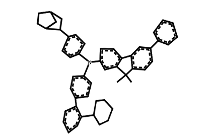 CC1(C)c2ccc(-c3ccccc3)cc2-c2ccc(N(c3ccc(-c4ccccc4C4CCCCC4)cc3)c3ccc(C4CC5CCC4C5)cc3)cc21